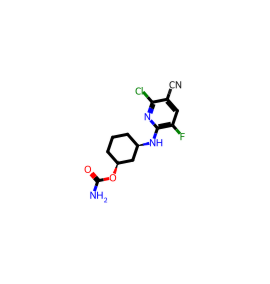 N#Cc1cc(F)c(N[C@@H]2CCC[C@H](OC(N)=O)C2)nc1Cl